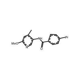 COc1cc(C)c(NC(=O)c2ccc(C(C)C)cc2)cn1